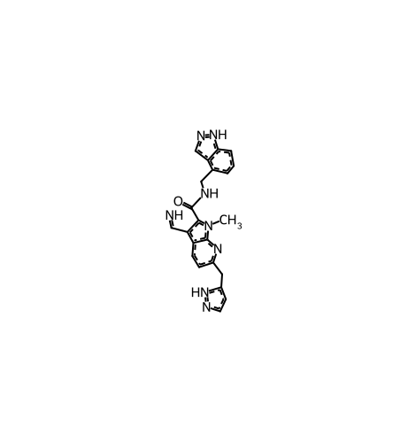 Cn1c(C(=O)NCc2cccc3[nH]ncc23)c(C=N)c2ccc(Cc3ccn[nH]3)nc21